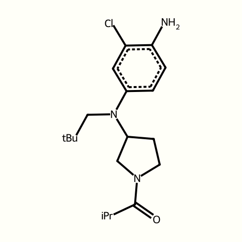 CC(C)C(=O)N1CCC(N(CC(C)(C)C)c2ccc(N)c(Cl)c2)C1